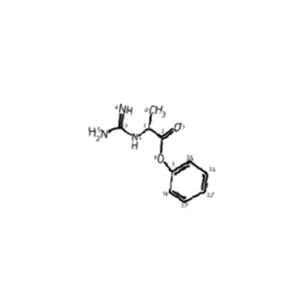 CC(NC(=N)N)C(=O)Oc1ccccc1